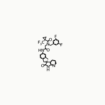 O=C(CN(Cc1cc(F)cc(F)c1)C(=O)C1(C(F)(F)F)CC1)Nc1ccc2c(c1)C[C@@]1(C2)C(=O)Nc2ncccc21